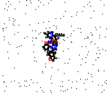 COc1cccc(O)c1-n1c(NS(=O)(=O)[C@@H](C)[C@H](OC)c2ncc(C)cn2)nnc1C1=C=C=C2OCCC2=C1